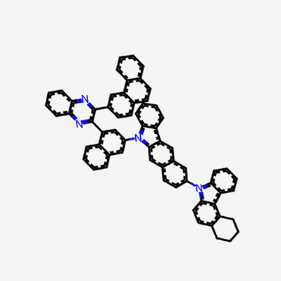 c1ccc2c(-c3nc4ccccc4nc3-c3ccc4ccc5ccccc5c4c3)cc(-n3c4ccccc4c4cc5cc(-n6c7ccccc7c7c8c(ccc76)CCCC8)ccc5cc43)cc2c1